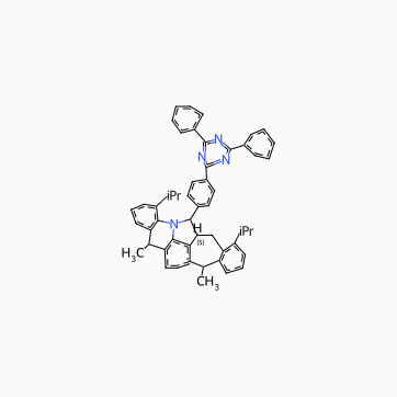 CC(C)c1cccc2c1C[C@H]1c3c(ccc4c3N(c3c(C(C)C)cccc3C4C)C1c1ccc(-c3nc(-c4ccccc4)nc(-c4ccccc4)n3)cc1)C2C